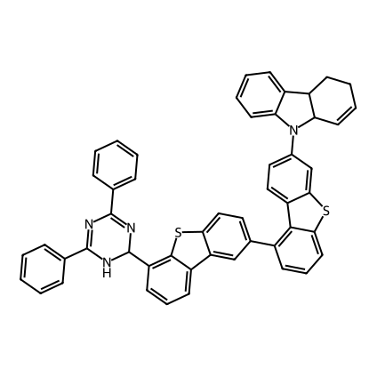 C1=CC2C(CC1)c1ccccc1N2c1ccc2c(c1)sc1cccc(-c3ccc4sc5c(C6N=C(c7ccccc7)N=C(c7ccccc7)N6)cccc5c4c3)c12